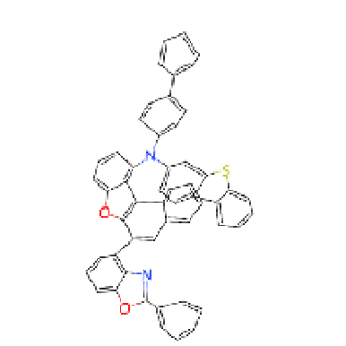 c1ccc(-c2ccc(N(c3ccc4c(c3)sc3ccccc34)c3cccc4oc5c(-c6cccc7oc(-c8ccccc8)nc67)cc6ccccc6c5c34)cc2)cc1